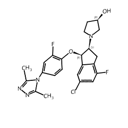 Cc1nnc(C)n1-c1ccc(O[C@@H]2c3cc(Cl)cc(F)c3C[C@@H]2N2CC[C@@H](O)C2)c(F)c1